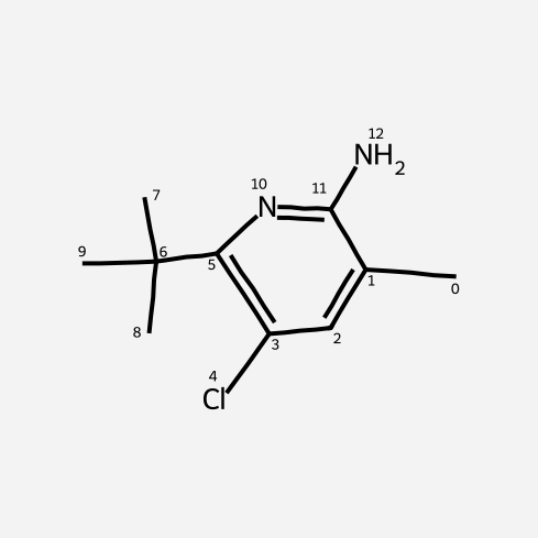 Cc1cc(Cl)c(C(C)(C)C)nc1N